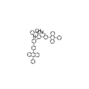 CC1(C)c2ccccc2-n2c3ccc(-c4ccc(-c5c6ccccc6c(-c6ccccc6)c6ccccc56)cc4)cc3c3cc(-c4ccc(-c5c6ccccc6c(-c6ccccc6)c6ccccc56)cc4)cc1c32